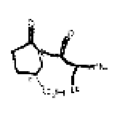 CCCCC(CC)C(=O)N1C(=O)CC[C@H]1C(=O)O